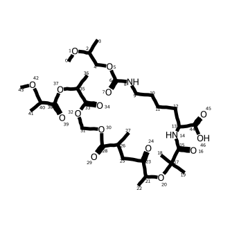 COC(C)COC(=O)NCCCCC(NC(=O)C(C)(C)OC(C)C(=O)CC(C)C(=O)OCOC(=O)C(C)OC(=O)C(C)OC)C(=O)O